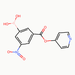 O=C(Oc1ccncc1)c1cc(B(O)O)cc([N+](=O)[O-])c1